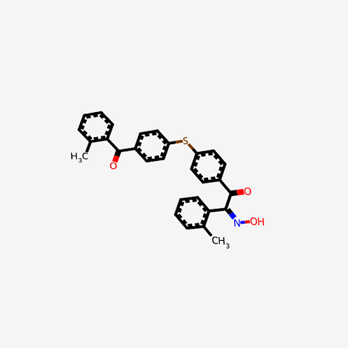 Cc1ccccc1C(=O)c1ccc(Sc2ccc(C(=O)/C(=N\O)c3ccccc3C)cc2)cc1